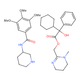 CN1CCCN=C1COC(=O)C(O)(c1ccccc1)C1CCCCC1.COc1cc(C(=O)NC2CCCNC2)cc(OC)c1OC